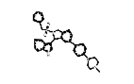 CN1CCN(c2ccc(-c3ccc4c(c3)C(c3c[nH]c5ccccc35)N(S(=O)(=O)Cc3ccccc3)C4)cc2)CC1